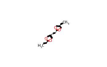 CC=C[C@H]1CO[C@H](CC[C@H]2CO[C@H](CCC)OC2)OC1